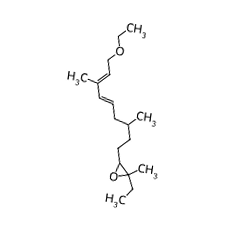 CCOCC=C(C)C=CCC(C)CCC1OC1(C)CC